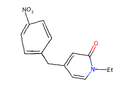 CCn1ccc(Cc2ccc([N+](=O)[O-])cc2)cc1=O